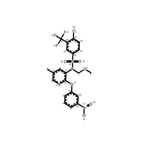 COCN(c1cc(C)cnc1Oc1cccc([N+](=O)[O-])c1)S(=O)(=O)c1ccc(Cl)c(C(F)(F)F)c1